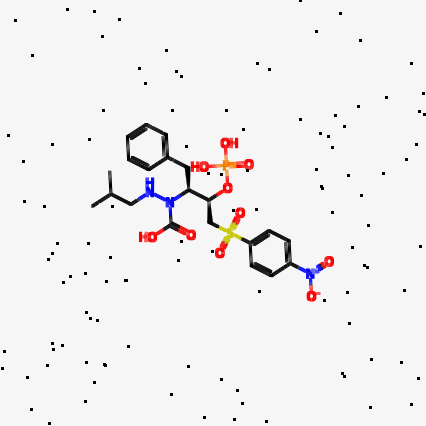 CC(C)CNN(C(=O)O)[C@@H](Cc1ccccc1)[C@H](CS(=O)(=O)c1ccc([N+](=O)[O-])cc1)OP(=O)(O)O